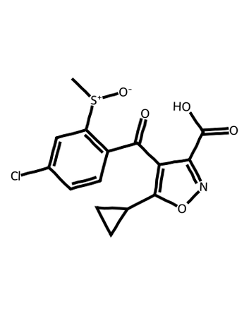 C[S+]([O-])c1cc(Cl)ccc1C(=O)c1c(C(=O)O)noc1C1CC1